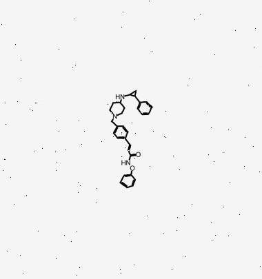 O=C(C=Cc1ccc(CN2CCC(NC3CC3c3ccccc3)CC2)cc1)NOc1ccccc1